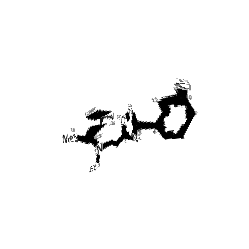 CCN(Cc1nc(-c2cccc(Cl)c2)no1)C(=NC)SC